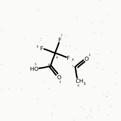 CC=O.O=C(O)C(F)(F)F